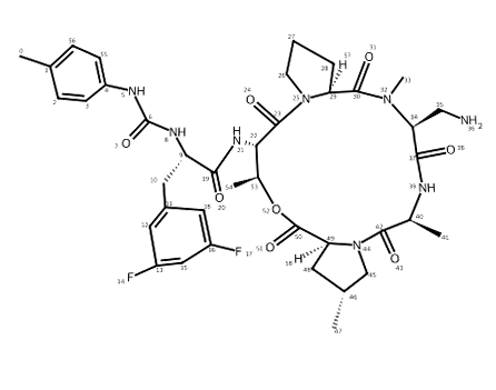 Cc1ccc(NC(=O)N[C@@H](Cc2cc(F)cc(F)c2)C(=O)N[C@@H]2C(=O)N3CCC[C@H]3C(=O)N(C)[C@@H](CN)C(=O)N[C@@H](C)C(=O)N3C[C@H](C)C[C@H]3C(=O)O[C@H]2C)cc1